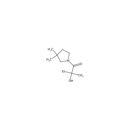 CCC(C)(O)C(=O)N1CCC(C)(C)C1